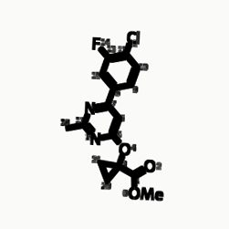 COC(=O)C1(Oc2cc(-c3ccc(Cl)c(F)c3)nc(C)n2)CC1